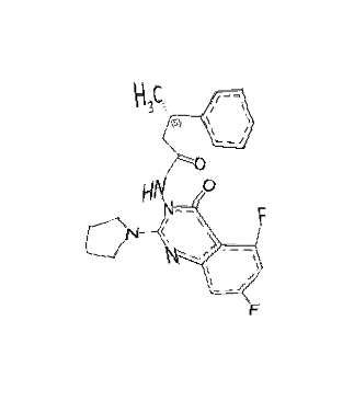 C[C@@H](CC(=O)Nn1c(N2CCCC2)nc2cc(F)cc(F)c2c1=O)c1ccccc1